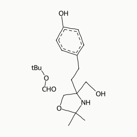 CC(C)(C)OC=O.CC1(C)NC(CO)(CCc2ccc(O)cc2)CO1